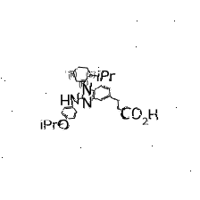 CC(C)Oc1ccc(Nc2nc3cc(CCC(=O)O)ccc3n2[C@@H]2C[C@H](C)CC[C@H]2C(C)C)cc1